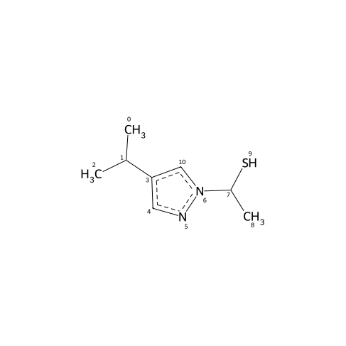 CC(C)c1cnn(C(C)S)c1